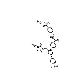 CCS(=O)(=O)c1ccc(CNC(=O)c2ccc(N3CC(c4ccc(C(F)(F)F)cc4)C[C@H]3COC(=O)N(C)C)cc2)cc1